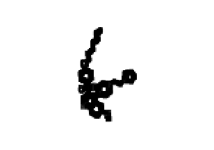 CCCCCCCOc1ccc(S(=O)(=O)c2cnc3ccc(SC)cc3c2N2CCN(CCN3CCCC3)CC2)cc1